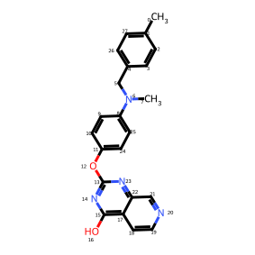 Cc1ccc(CN(C)c2ccc(Oc3nc(O)c4ccncc4n3)cc2)cc1